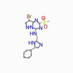 CS(=O)(=O)c1nc(NCc2ncc(-c3ccccc3)[nH]2)n2ncc(Br)c2n1